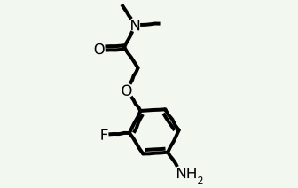 CN(C)C(=O)COc1ccc(N)cc1F